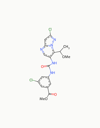 COC(=O)c1cc(Cl)cc(NC(=O)Nc2cnc3cc(Cl)nn3c2C(C)OC)c1